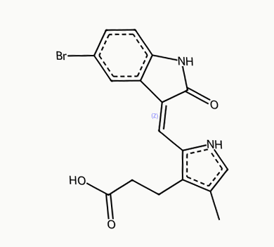 Cc1c[nH]c(/C=C2\C(=O)Nc3ccc(Br)cc32)c1CCC(=O)O